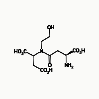 N[C@@H](CC(=O)N(CCO)C(CC(=O)O)C(=O)O)C(=O)O